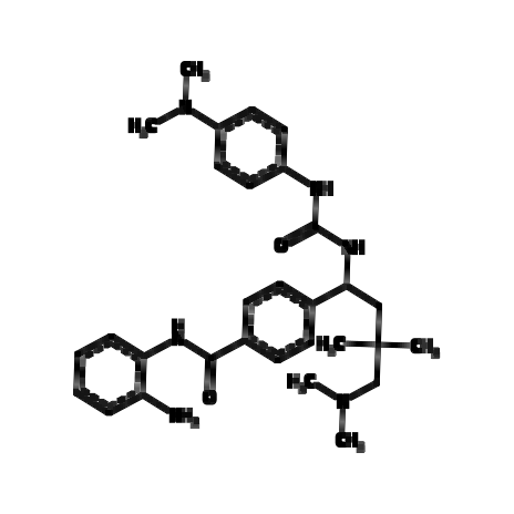 CN(C)CC(C)(C)CC(NC(=O)Nc1ccc(N(C)C)cc1)c1ccc(C(=O)Nc2ccccc2N)cc1